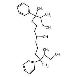 CC(CO)C(C)(CCCC(O)CCCC(C)(c1ccccc1)C(C)CO)c1ccccc1